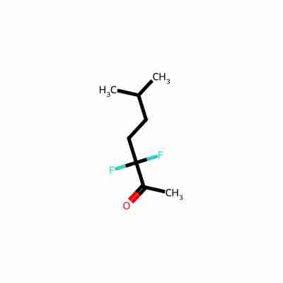 CC(=O)C(F)(F)CCC(C)C